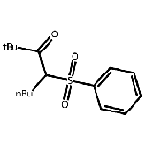 CCCCC(C(=O)C(C)(C)C)S(=O)(=O)c1ccccc1